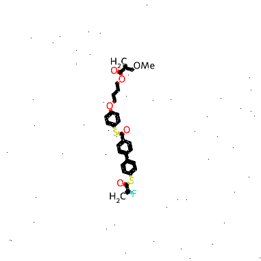 C=C(F)C(=O)Sc1ccc(-c2ccc(C(=O)Sc3ccc(OCCCCOC(=O)C(=C)COC)cc3)cc2)cc1